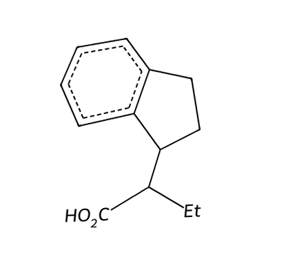 CCC(C(=O)O)C1CCc2ccccc21